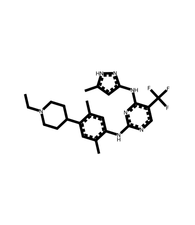 CCN1CCC(c2cc(C)c(Nc3ncc(C(F)(F)F)c(Nc4cc(C)[nH]n4)n3)cc2C)CC1